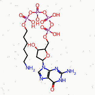 NCCCCCCOP(=O)(O)OP(=O)(O)OP(=O)(O)OP(=O)(O)OCC1O[C@@H](n2cnc3c(=O)[nH]c(N)nc32)C[C@H]1O